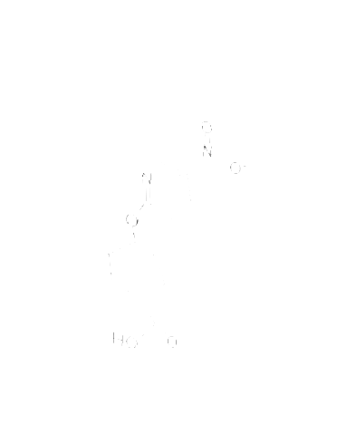 O=C(O)C1CCC(Oc2ccc([N+](=O)[O-])cn2)CC1